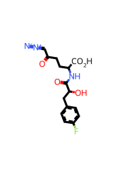 [N-]=[N+]=CC(=O)CCC(NC(=O)C(O)Cc1ccc(F)cc1)C(=O)O